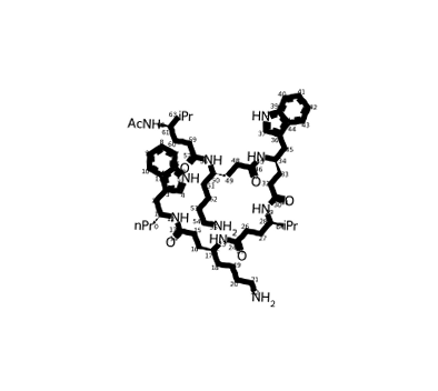 CCC[C@H](Cc1c[nH]c2ccccc12)NC(=O)CC[C@H](CCCCN)NC(=O)CC[C@@H](NC(=O)CC[C@H](Cc1c[nH]c2ccccc12)NC(=O)CC[C@H](CCCCN)NC(=O)CC[C@@H](NC(C)=O)C(C)C)C(C)C